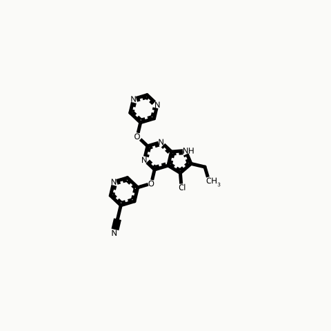 CCc1[nH]c2nc(Oc3cncnc3)nc(Oc3cncc(C#N)c3)c2c1Cl